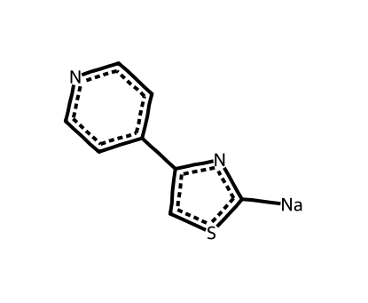 [Na][c]1nc(-c2ccncc2)cs1